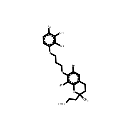 CCCc1c(OCCCOc2c(C(C)=O)cc3c(c2CCC)OC(C)(CCC(=O)OCC)CC3)ccc(C(C)=O)c1O